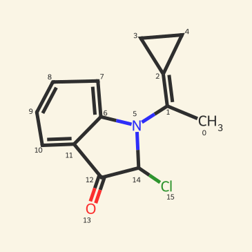 CC(=C1CC1)N1c2ccccc2C(=O)C1Cl